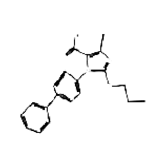 CCCSc1nc(C)c(C(=O)O)n1-c1ccc(-c2ccccc2)cc1